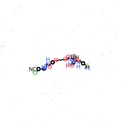 Cc1ncsc1-c1ccc([C@H](C)NC(=O)C2C[C@@H](O)CN2C(=O)C(NC(=O)COCCCCCOc2ccc(C(=O)N[C@@H](C)Cn3ccc(-c4ccc(C#N)c(Cl)c4)n3)cc2)C(C)(C)C)cc1